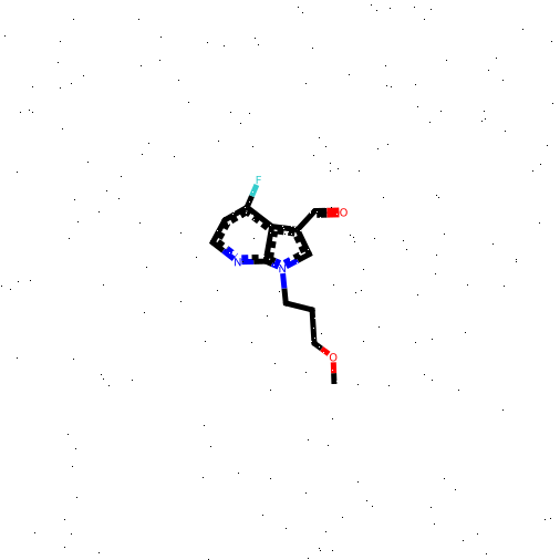 COCCCn1cc(C=O)c2c(F)ccnc21